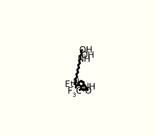 CCc1c(C)c2c3c(C(F)(F)F)cc(=O)[nH]c3ccc2n1CCCCCCCCCNC[C@@H](O)CO